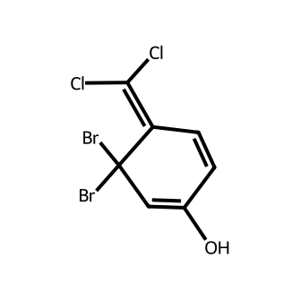 OC1=CC(Br)(Br)C(=C(Cl)Cl)C=C1